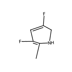 CC1=C(F)C=C(F)CN1